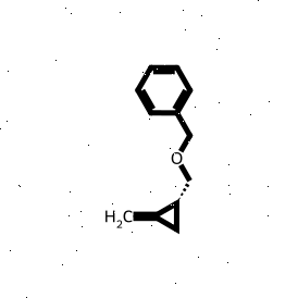 C=C1C[C@H]1COCc1ccccc1